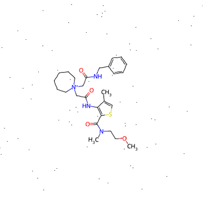 COCCN(C)C(=O)c1scc(C)c1NC(=O)C[N+]1(CC(=O)NCc2ccccc2)CCCCCC1